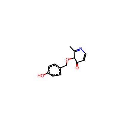 CC1=NC=CC(=O)C1OCc1ccc(O)cc1